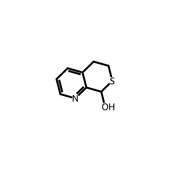 OC1SCCc2cccnc21